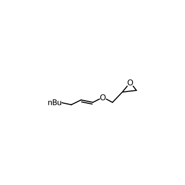 CCCCCC=COCC1CO1